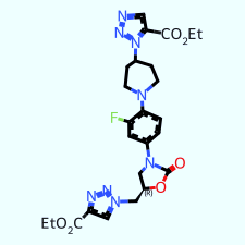 CCOC(=O)c1cn(C[C@H]2CN(c3ccc(N4CCC(n5nncc5C(=O)OCC)CC4)c(F)c3)C(=O)O2)nn1